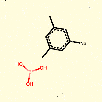 Cc1cc(C)c[c]([Na])c1.OB(O)O